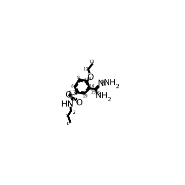 CCCNS(=O)(=O)c1ccc(OCC)c(/C(N)=N/N)c1